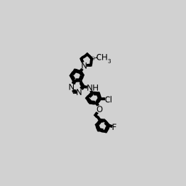 C[C@H]1CCN(c2ccc3ncnc(Nc4ccc(OCc5cccc(F)c5)c(Cl)c4)c3c2)C1